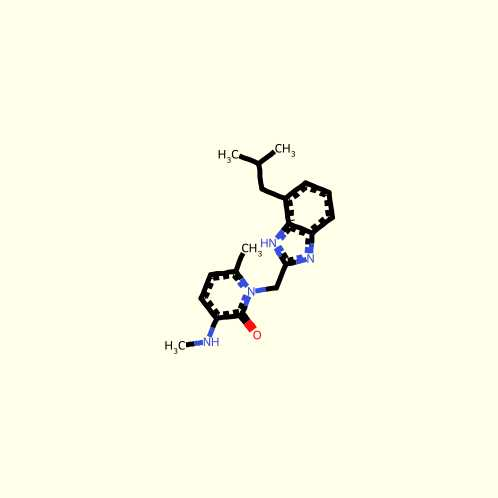 CNc1ccc(C)n(Cc2nc3cccc(CC(C)C)c3[nH]2)c1=O